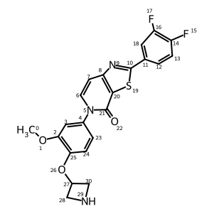 COc1cc(-n2ccc3nc(-c4ccc(F)c(F)c4)sc3c2=O)ccc1OC1CNC1